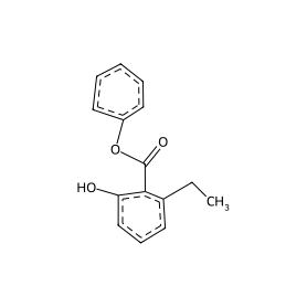 CCc1cccc(O)c1C(=O)Oc1ccccc1